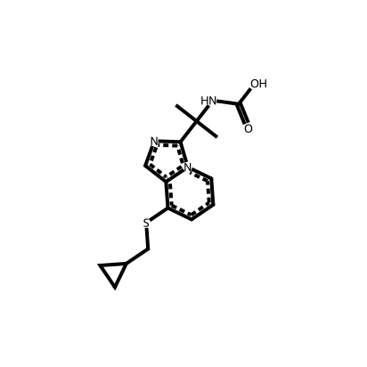 CC(C)(NC(=O)O)c1ncc2c(SCC3CC3)cccn12